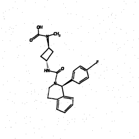 CN(C(=O)O)[C@H]1C[C@H](NC(=O)N2CCc3ccccc3[C@@H]2c2ccc(F)cc2)C1